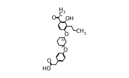 CCCc1c(O[C@H]2CCC[C@@H](Oc3ccc(CC(=O)O)cc3)C2)ccc(C(C)=O)c1O